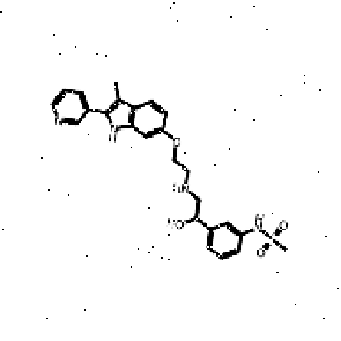 Cc1c(-c2cccnc2)[nH]c2cc(OCCNCC(O)c3cccc(NS(C)(=O)=O)c3)ccc12